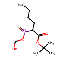 CCCCC(C(=O)OC(C)(C)C)[PH](=S)OCO